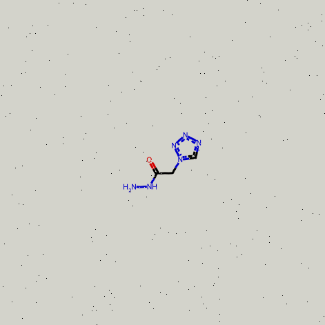 NNC(=O)Cn1cnnn1